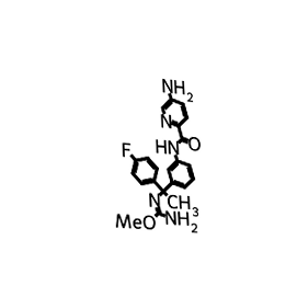 CO/C(N)=N/C(C)(c1ccc(F)cc1)c1cccc(NC(=O)c2ccc(N)cn2)c1